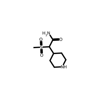 CS(=O)(=O)C(C(N)=O)C1CCNCC1